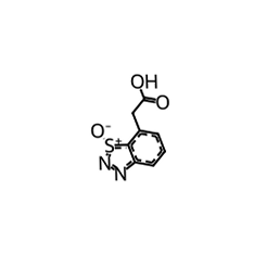 O=C(O)Cc1cccc2nn[s+]([O-])c12